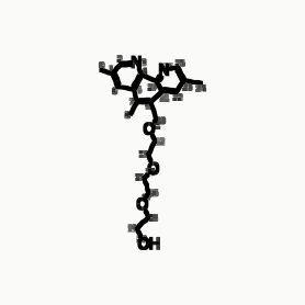 Cc1cnc2c(c1)c(C)c(COCCOCCOCCO)c1cc(C)cnc12